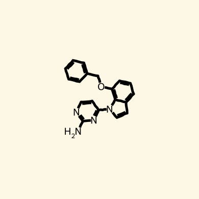 Nc1nccc(-n2ccc3cccc(OCc4ccccc4)c32)n1